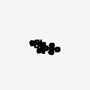 CC(C)(c1ccccc1)c1ccc2c(c1)B1c3ccccc3Sc3cc(-c4c5ccccc5c(-c5ccccc5)c5ccccc45)cc(c31)S2